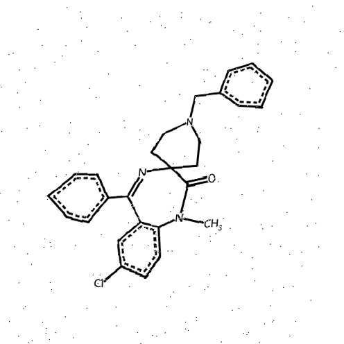 CN1C(=O)C2(CCN(Cc3ccccc3)CC2)N=C(c2ccccc2)c2cc(Cl)ccc21